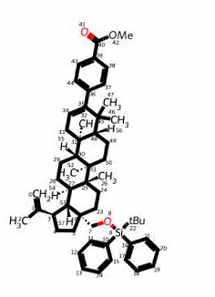 C=C(C)[C@@H]1CC[C@]2(CO[Si](c3ccccc3)(c3ccccc3)C(C)(C)C)CC[C@]3(C)[C@H](CC[C@@H]4[C@@]5(C)CC=C(c6ccc(C(=O)OC)cc6)C(C)(C)[C@@H]5CC[C@]43C)[C@@H]12